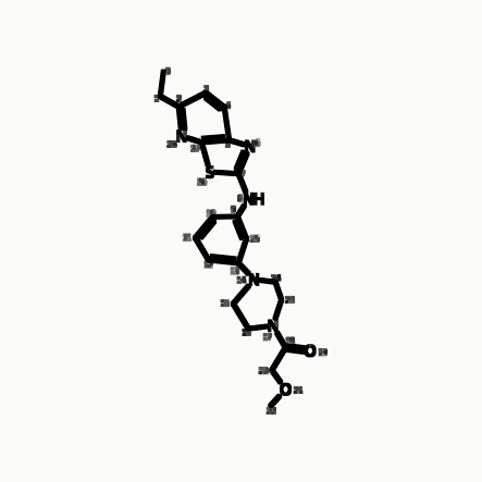 CCc1ccc2nc(Nc3cccc(N4CCN(C(=O)COC)CC4)c3)sc2n1